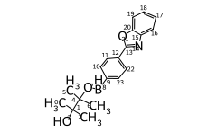 CC(C)(O)C(C)(C)OBc1ccc(-c2nc3ccccc3o2)cc1